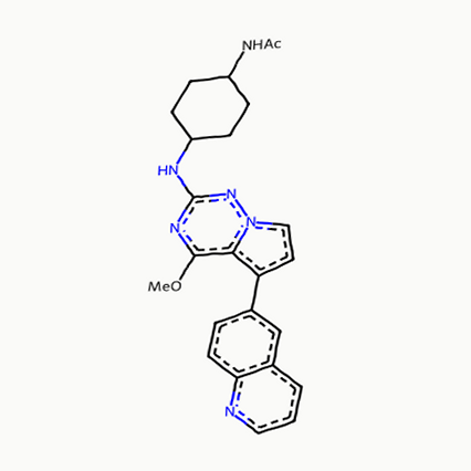 COc1nc(NC2CCC(NC(C)=O)CC2)nn2ccc(-c3ccc4ncccc4c3)c12